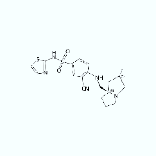 C[C@@H]1CN2CCC[C@]2(CNc2ccc(S(=O)(=O)Nc3nccs3)cc2C#N)C1